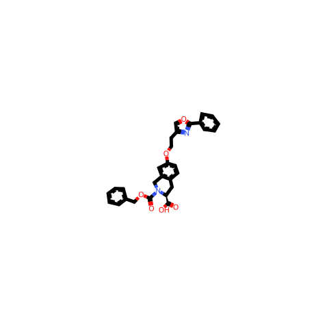 O=C(O)[C@@H]1Cc2ccc(OCCc3coc(-c4ccccc4)n3)cc2CN1C(=O)OCc1ccccc1